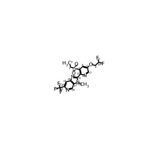 CCS(=O)(=O)c1cc(OCC(F)F)cnc1-c1nc2cc(C(F)(F)F)ncc2n1C